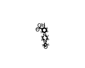 O=C(O)c1cccc(N2CCN(C3COC3)CC2)c1